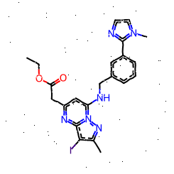 CCOC(=O)Cc1cc(NCc2cccc(-c3nccn3C)c2)n2nc(C)c(I)c2n1